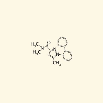 Cc1cc(C(=O)N(C)C)nn1-c1ccccc1-c1ccccc1